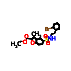 CCOC(=O)c1oc2ccc(S(=O)(=O)NCCc3ccccc3Br)cc2c1C